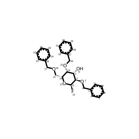 O[C@@H]1[C@@H](OCc2ccccc2)[C@@H](F)O[C@H](COCc2ccccc2)[C@@H]1OCc1ccccc1